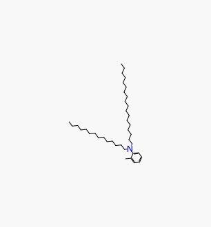 CCCCCCCCCCCCCCCCCCN(CCCCCCCCCCCCCC)c1ccccc1C